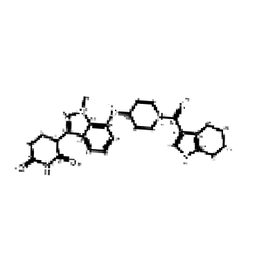 Cn1nc(C2CCC(=O)NC2=O)c2cccc(OC3CCN(C(=O)c4csc5c4CCCC5)CC3)c21